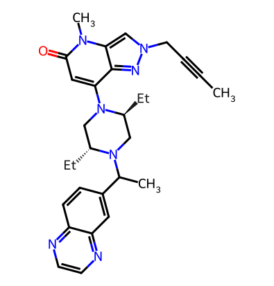 CC#CCn1cc2c(n1)c(N1C[C@@H](CC)N(C(C)c3ccc4nccnc4c3)C[C@@H]1CC)cc(=O)n2C